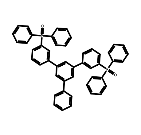 O=P(c1ccccc1)(c1ccccc1)c1cccc(-c2cc(-c3ccccc3)cc(-c3cccc(P(=O)(c4ccccc4)c4ccccc4)c3)c2)c1